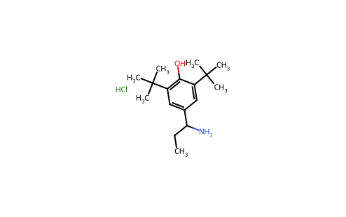 CCC(N)c1cc(C(C)(C)C)c(O)c(C(C)(C)C)c1.Cl